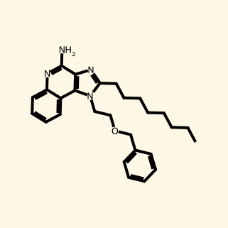 CCCCCCCCc1nc2c(N)nc3ccccc3c2n1CCOCc1ccccc1